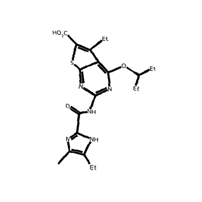 CCc1[nH]c(C(=O)Nc2nc(OC(CC)CC)c3c(CC)c(C(=O)O)sc3n2)nc1C